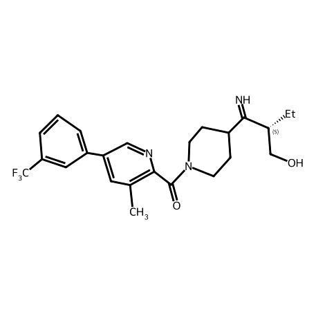 CC[C@H](CO)C(=N)C1CCN(C(=O)c2ncc(-c3cccc(C(F)(F)F)c3)cc2C)CC1